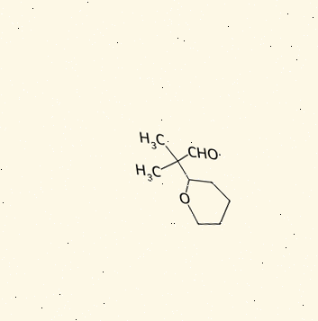 CC(C)([C]=O)C1CCCCO1